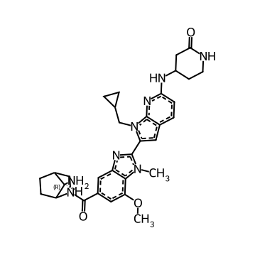 COc1cc(C(=O)N2CC3CCC2[C@@H]3N)cc2nc(-c3cc4ccc(NC5CCNC(=O)C5)nc4n3CC3CC3)n(C)c12